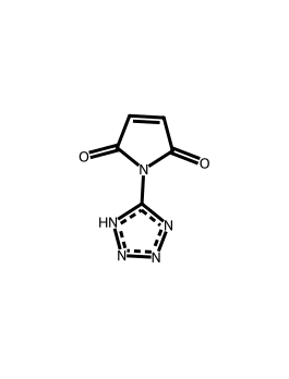 O=C1C=CC(=O)N1c1nnn[nH]1